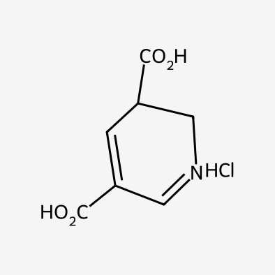 Cl.O=C(O)C1=CC(C(=O)O)CN=C1